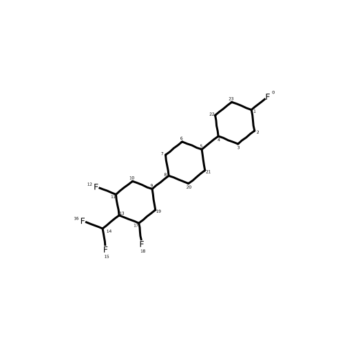 FC1CCC(C2CCC(C3CC(F)C(C(F)F)C(F)C3)CC2)CC1